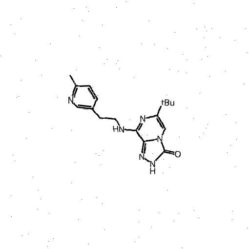 Cc1ccc(CCNc2nc(C(C)(C)C)cn3c(=O)[nH]nc23)cn1